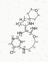 C/C(NC1(C)CCOCC1)=C1\Nc2ncc(Cl)c(n2)NCCCOC1=N